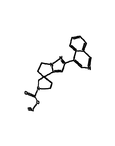 CC(C)(C)OC(=O)N1CCC2(CCn3nc(-c4cncc5ccccc45)cc32)C1